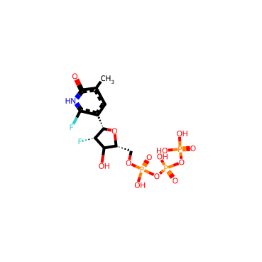 Cc1cc([C@@H]2O[C@H](COP(=O)(O)OP(=O)(O)OP(=O)(O)O)C(O)[C@@H]2F)c(F)[nH]c1=O